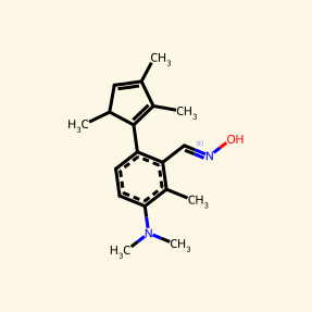 CC1=CC(C)C(c2ccc(N(C)C)c(C)c2/C=N/O)=C1C